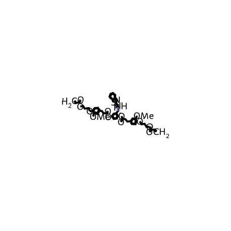 C=CC(=O)OCCCOc1ccc(CCC(=O)Oc2ccc(OC(=O)CCc3ccc(OCCCOC(=O)C=C)c(OC)c3)c(/C=N/Nc3nc4ccccc4s3)c2)cc1OC